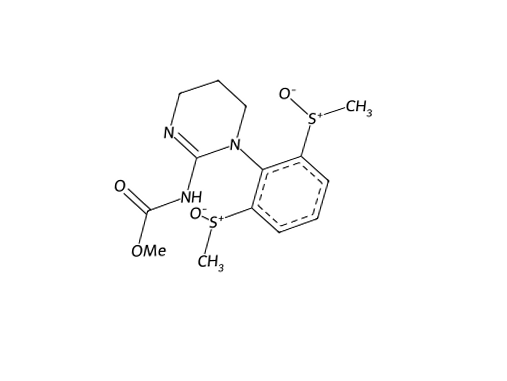 COC(=O)NC1=NCCCN1c1c([S+](C)[O-])cccc1[S+](C)[O-]